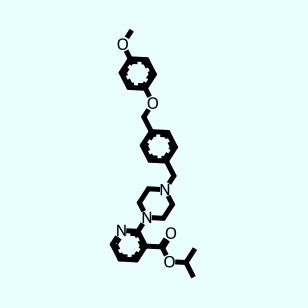 COc1ccc(OCc2ccc(CN3CCN(c4ncccc4C(=O)OC(C)C)CC3)cc2)cc1